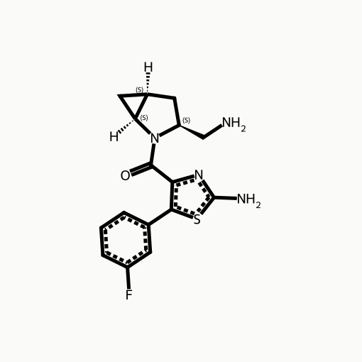 NC[C@@H]1C[C@@H]2C[C@@H]2N1C(=O)c1nc(N)sc1-c1cccc(F)c1